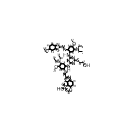 CCN(CC)c1cc(Nc2nc(Nc3cc(N(CC)CC)c(OC)cc3/N=N/c3nc4ccc(OC)c(S(=O)(=O)O)c4s3)nc(SCCO)n2)c(/N=N/c2nc3ccc(OC)cc3s2)cc1OC